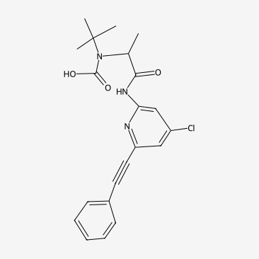 CC(C(=O)Nc1cc(Cl)cc(C#Cc2ccccc2)n1)N(C(=O)O)C(C)(C)C